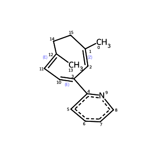 C/C1=C/C(c2ccccn2)=C\C=C(/C)CC1